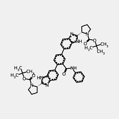 CC(C)(C)OC(=O)N1CCC[C@H]1c1nc2ccc(-c3ccc(-c4ccc5nc([C@@H]6CCCN6C(=O)OC(C)(C)C)[nH]c5c4)c(C(=O)Nc4ccccc4)c3)cc2[nH]1